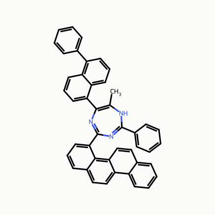 CC1=C(c2cccc3c(-c4ccccc4)cccc23)N=C(c2cccc3ccc4c5ccccc5ccc4c23)N=C(c2ccccc2)N1